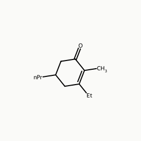 CCCC1CC(=O)C(C)=C(CC)C1